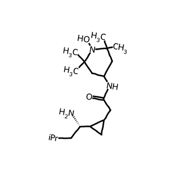 CC(C)C[C@H](N)C1CC1CC(=O)NC1CC(C)(C)N(O)C(C)(C)C1